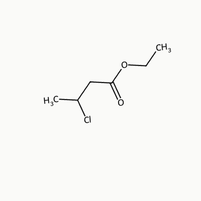 CCOC(=O)CC(C)Cl